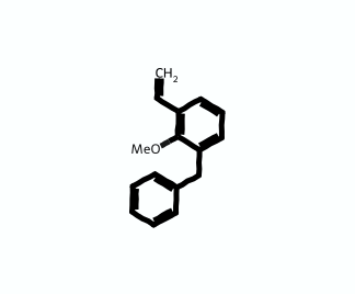 C=Cc1cccc(Cc2ccccc2)c1OC